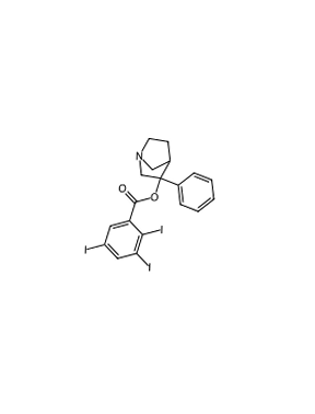 O=C(OC1(c2ccccc2)CN2CCC1C2)c1cc(I)cc(I)c1I